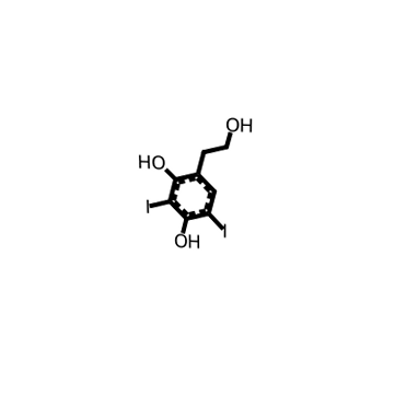 OCCc1cc(I)c(O)c(I)c1O